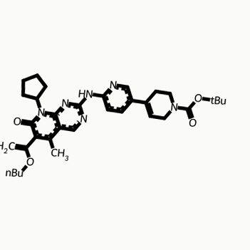 C=C(OCCCC)c1c(C)c2cnc(Nc3ccc(C4=CCN(C(=O)OC(C)(C)C)CC4)cn3)nc2n(C2CCCC2)c1=O